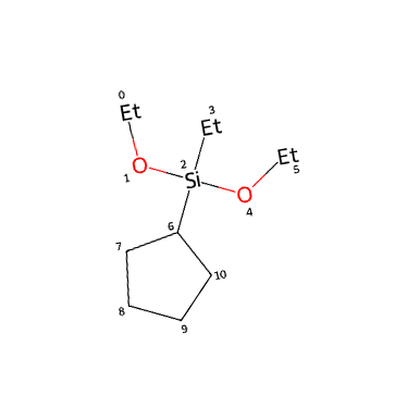 CCO[Si](CC)(OCC)C1CCCC1